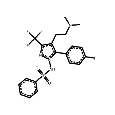 CN(C)CCc1c(C(F)(F)F)nn(NS(=O)(=O)c2ccccc2)c1-c1ccc(F)cc1